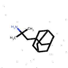 CC(C)(N)CC12CC3CC(CC(C3)C1)C2